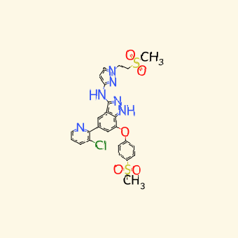 CS(=O)(=O)CCn1ccc(Nc2n[nH]c3c(Oc4ccc(S(C)(=O)=O)cc4)cc(-c4ncccc4Cl)cc23)n1